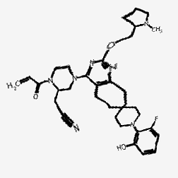 C=CC(=O)N1CCN(c2nc(OCC3CCCN3C)nc3c2CCC2(CCN(c4c(O)cccc4F)CC2)C3)CC1CC#N